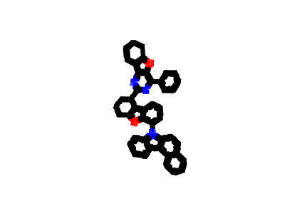 C1=Cc2c(oc3c(-c4ccccc4)nc(C4=CCCc5oc6c(-n7c8ccccc8c8c9ccccc9ccc87)cccc6c54)nc23)CC1